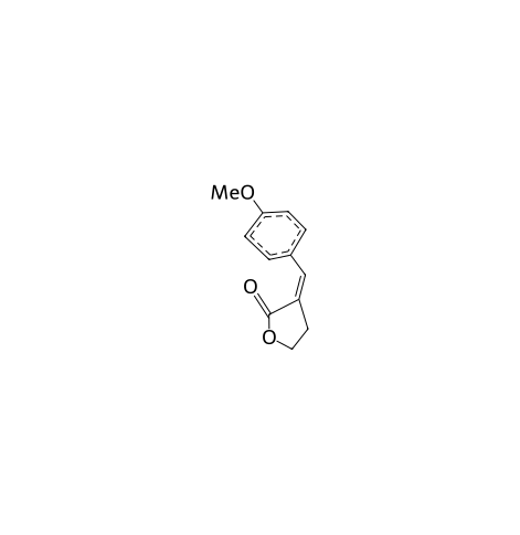 COc1ccc(C=C2CCOC2=O)cc1